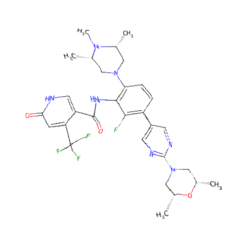 C[C@@H]1CN(c2ncc(-c3ccc(N4C[C@@H](C)N(C)[C@@H](C)C4)c(NC(=O)c4c[nH]c(=O)cc4C(F)(F)F)c3F)cn2)C[C@H](C)O1